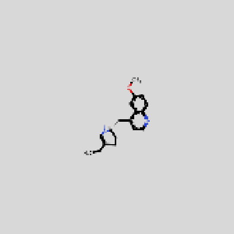 CCC1=CN[C@H](Cc2ccnc3ccc(OC)cc23)CC1